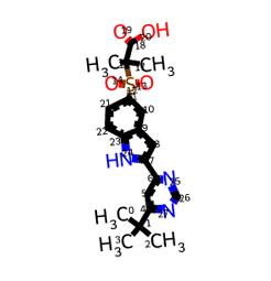 CC(C)(C)c1cc(-c2cc3cc(S(=O)(=O)C(C)(C)C(=O)O)ccc3[nH]2)ncn1